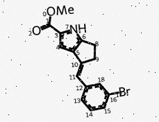 COC(=O)c1cc2c([nH]1)CC/C2=C\c1cccc(Br)c1